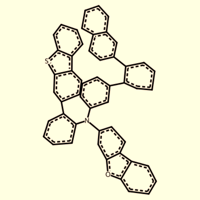 c1cc(-c2ccccc2-c2ccc3ccccc3c2)cc(N(c2ccc3c(c2)oc2ccccc23)c2ccccc2-c2ccc3c(c2)sc2ccccc23)c1